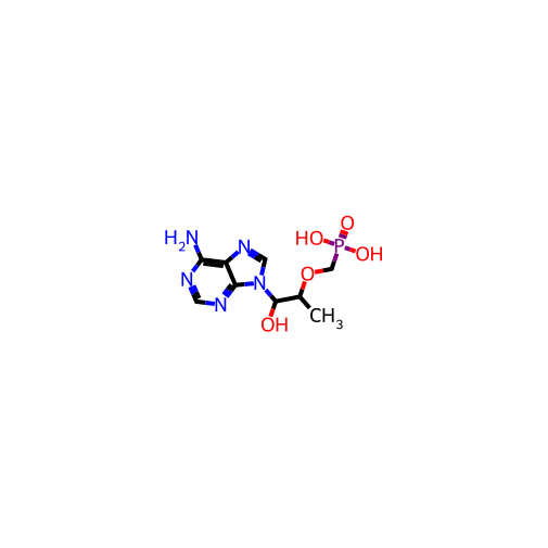 CC(OCP(=O)(O)O)C(O)n1cnc2c(N)ncnc21